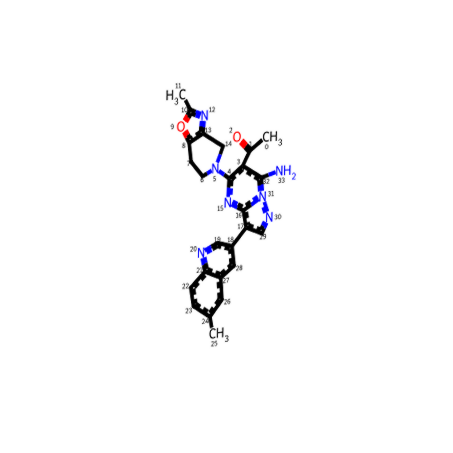 CC(=O)c1c(N2CCc3oc(C)nc3C2)nc2c(-c3cnc4ccc(C)cc4c3)cnn2c1N